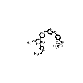 CCCCN(C(=O)Nc1cnn(CC)c1)C1CCN(Cc2ccc(Oc3ccc(NS(C)(=O)=O)cc3)nc2)CC1